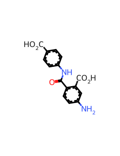 Nc1ccc(C(=O)Nc2ccc(C(=O)O)cc2)c(C(=O)O)c1